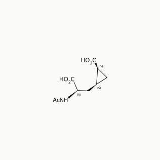 CC(=O)N[C@H](C[C@@H]1C[C@@H]1C(=O)O)C(=O)O